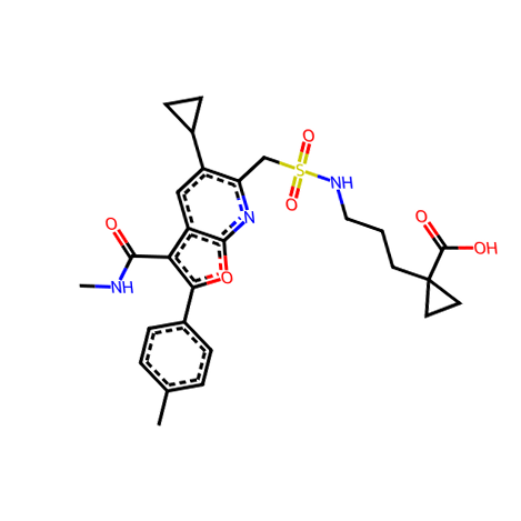 CNC(=O)c1c(-c2ccc(C)cc2)oc2nc(CS(=O)(=O)NCCCC3(C(=O)O)CC3)c(C3CC3)cc12